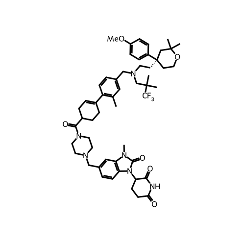 COc1ccc([C@]2(CCN(Cc3ccc(C4=CCC(C(=O)N5CCN(Cc6ccc7c(c6)n(C)c(=O)n7C6CCC(=O)NC6=O)CC5)CC4)c(C)c3)CC(C)(C)C(F)(F)F)CCOC(C)(C)C2)cc1